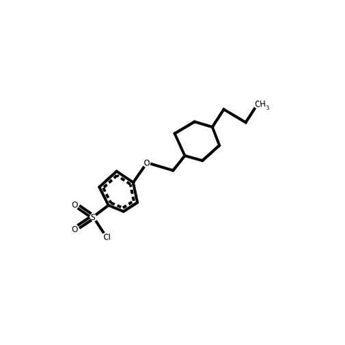 CCCC1CCC(COc2ccc(S(=O)(=O)Cl)cc2)CC1